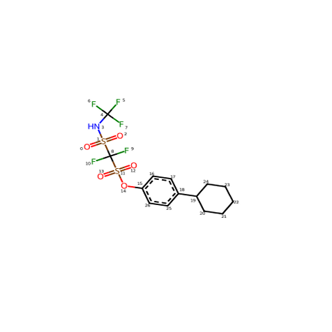 O=S(=O)(NC(F)(F)F)C(F)(F)S(=O)(=O)Oc1ccc(C2CCCCC2)cc1